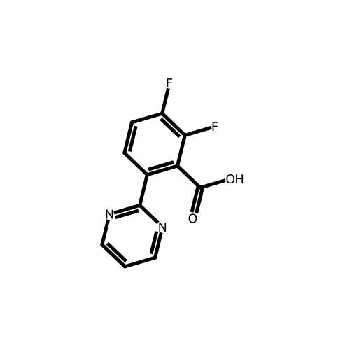 O=C(O)c1c(-c2ncccn2)ccc(F)c1F